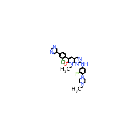 CCN1CCN(c2ccc(Nc3ncc4cc(-c5ccc(-c6cncnc6)cc5Cl)c(=O)n(CC)c4n3)cc2F)CC1